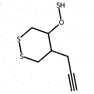 C#CCC1CSSCC1OS